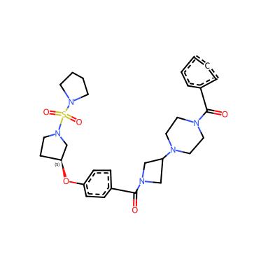 O=C(c1ccccc1)N1CCN(C2CN(C(=O)c3ccc(O[C@H]4CCN(S(=O)(=O)N5CCCC5)C4)cc3)C2)CC1